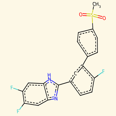 CS(=O)(=O)c1ccc(-c2cc(-c3nc4cc(F)c(F)cc4[nH]3)ccc2F)cc1